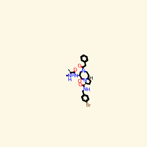 CN[C@@H](C)C(=O)N[C@H]1CN(C(=O)Cc2ccccc2)CC[C@H]2CC[C@@H](C(=O)NCc3ccc(Br)cc3)N2C1=O